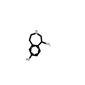 CC1CNCCc2cc(O)ccc21